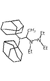 CCN(CC)N(CC)C(C)P(C12CC3CC(CC(C3)C1)C2)C12CC3CC(CC(C3)C1)C2